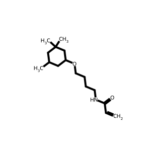 C=CC(=O)NCCCCOC1CC(C)CC(C)(C)C1